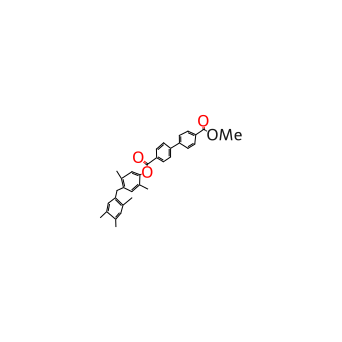 COC(=O)c1ccc(-c2ccc(C(=O)Oc3cc(C)c(Cc4cc(C)c(C)cc4C)cc3C)cc2)cc1